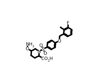 Cc1c(F)cccc1COc1ccc(S(=O)(=O)N2CC(ON)CCC2C(=O)O)cc1